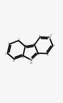 C1=CCC2=c3cnccc3=NC2=C1